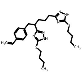 C=Cc1ccc(CC(CCCc2n[nH]c(SCCCC)n2)c2n[nH]c(SCCCC)n2)cc1